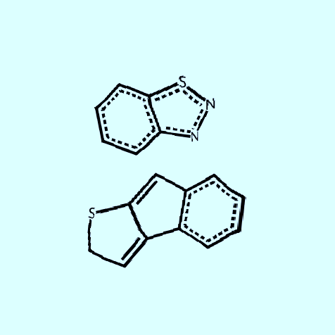 C1=C2SCC=C2c2ccccc21.c1ccc2snnc2c1